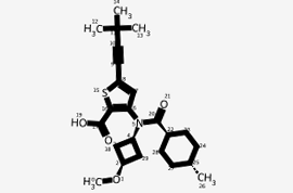 CO[C@H]1C[C@@H](N(c2cc(C#CC(C)(C)C)sc2C(=O)O)C(=O)[C@H]2CC[C@H](C)CC2)C1